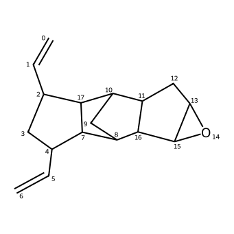 C=CC1CC(C=C)C2C3CC(C4CC5OC5C43)C12